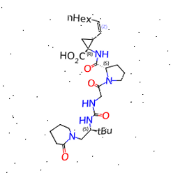 CCCCCC/C=C\C1C[C@]1(NC(=O)[C@@H]1CCCN1C(=O)CNC(=O)N[C@H](CN1CCCCC1=O)C(C)(C)C)C(=O)O